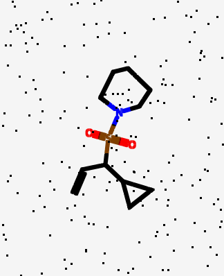 C=CC(C1CC1)S(=O)(=O)N1CCCCC1